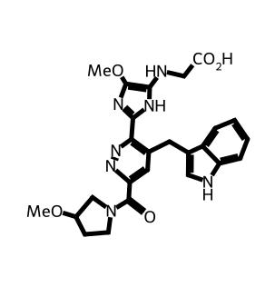 COc1nc(-c2nnc(C(=O)N3CCC(OC)C3)cc2Cc2c[nH]c3ccccc23)[nH]c1NCC(=O)O